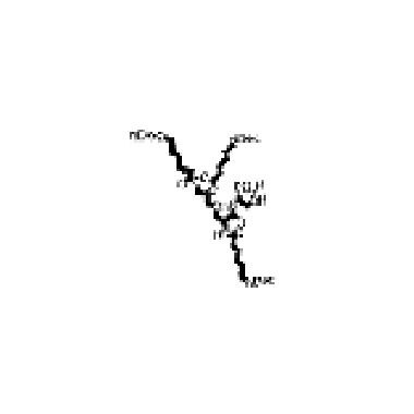 CCCCCCCCCCCCCCCC(=O)NC(CSCC(COC(=O)CCCCCCCCCCCCCCC)OC(=O)CCCCCCCCCCCCCCC)C(=O)NC(CO)C(=O)O